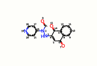 O=CN(NC1=CC(=O)c2ccccc2C1=O)c1ccncc1